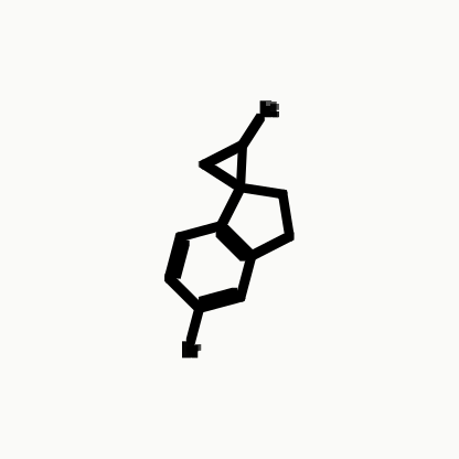 CCC1CC12CCc1cc(Br)ccc12